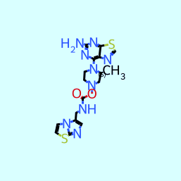 C[C@H]1CN(OC(=O)NCc2cnc3sccn23)CCN1c1nc(N)nc2scnc12